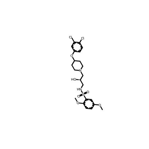 COc1ccc(OC)c(S(=O)(=O)NC[C@@H](O)CN2CCC(Oc3ccc(Cl)c(Cl)c3)CC2)c1